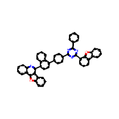 c1ccc(-c2nc(-c3ccc(-c4ccc(-c5nc6ccccc6c6oc7ccccc7c56)c5ccccc45)cc3)nc(-c3cccc4c3oc3ccccc34)n2)cc1